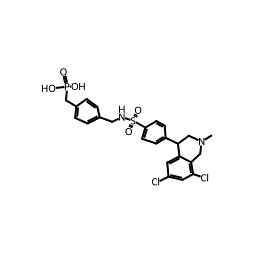 CN1Cc2c(Cl)cc(Cl)cc2C(c2ccc(S(=O)(=O)NCc3ccc(CP(=O)(O)O)cc3)cc2)C1